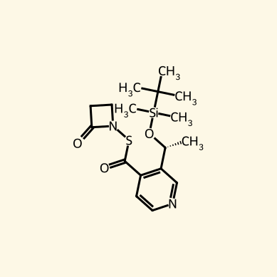 C[C@@H](O[Si](C)(C)C(C)(C)C)c1cnccc1C(=O)SN1CCC1=O